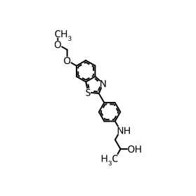 COCOc1ccc2nc(-c3ccc(NCC(C)O)cc3)sc2c1